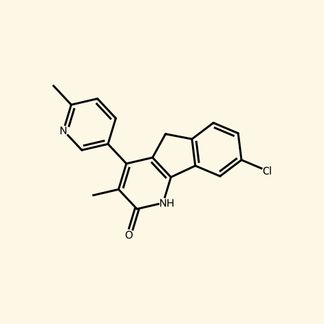 Cc1ccc(-c2c3c([nH]c(=O)c2C)-c2cc(Cl)ccc2C3)cn1